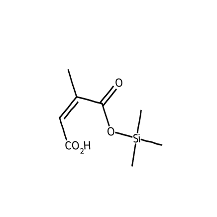 CC(=CC(=O)O)C(=O)O[Si](C)(C)C